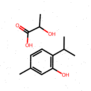 CC(O)C(=O)O.Cc1ccc(C(C)C)c(O)c1